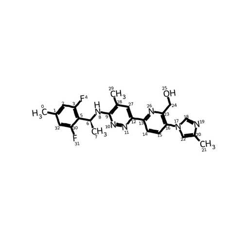 Cc1cc(F)c([C@H](C)Nc2nnc(-c3ccc(-n4cnc(C)c4)c(CO)n3)cc2C)c(F)c1